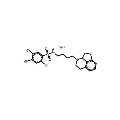 Cl.O=S(=O)(NCCCCN1CCc2cccc3c2C1CC3)c1cc(Cl)c(Cl)cc1Cl